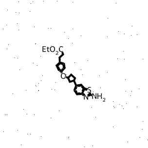 CCOC(=O)CCc1ccc(OC2CCC(c3ccc4nc(N)sc4c3)C2)cc1